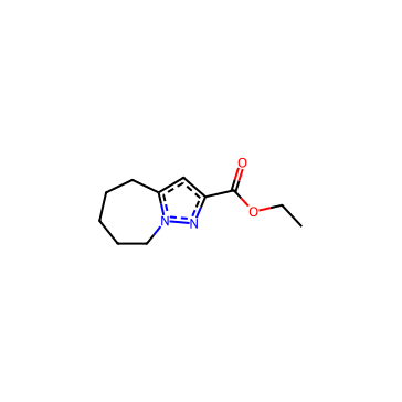 CCOC(=O)c1cc2n(n1)CCCCC2